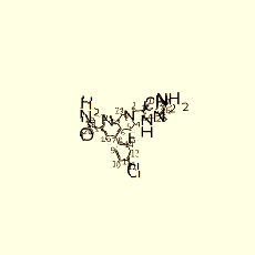 C=C(CN1CCc2c(-c3ccc(Cl)cc3F)cc(C(N)=O)nc2C1)N/N=C\N